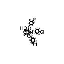 C[C@H]1O[C@H](O)[C@H](OCc2ccc(Cl)cc2)[C@@H](OCc2ccc(Cl)cc2)[C@H]1OCc1ccc(Cl)cc1